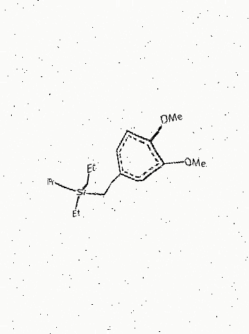 CC[Si]([CH]c1ccc(OC)c(OC)c1)(CC)C(C)C